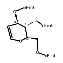 CCCCCOC[C@H]1OC=C[C@@H](OCCCCC)[C@@H]1OCCCCC